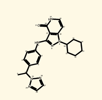 CC(c1ccc(Nc2nn(C3CCCCC3)c3cc[nH]c(=O)c23)cc1)n1nccn1